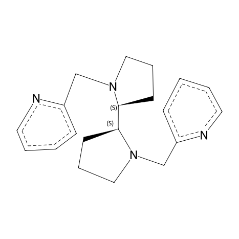 c1ccc(CN2CCC[C@H]2[C@@H]2CCCN2Cc2ccccn2)nc1